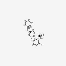 Cc1cccc(C2(O)CCN(Cc3ccccc3)CC2)c1CO